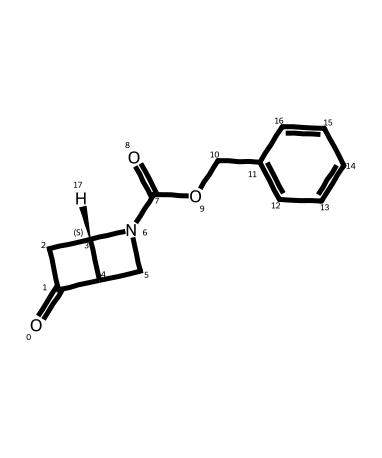 O=C1C[C@H]2C1CN2C(=O)OCc1ccccc1